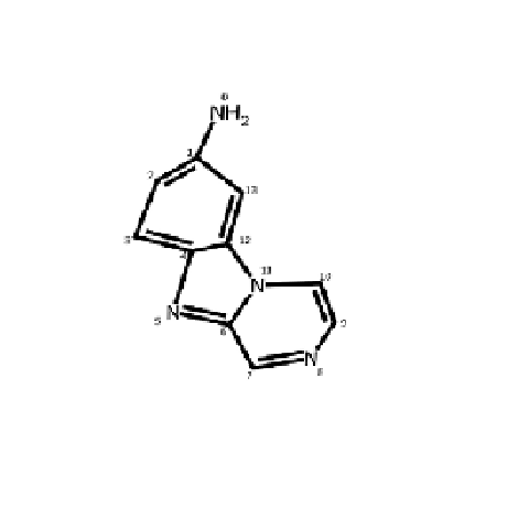 Nc1ccc2nc3cnccn3c2c1